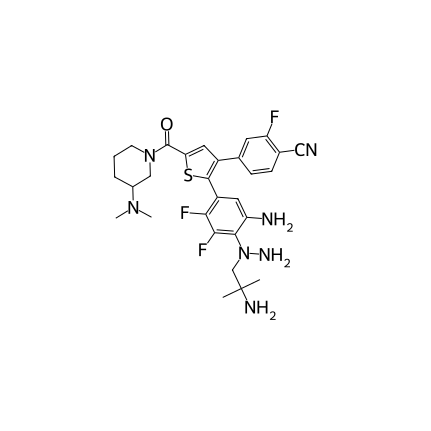 CN(C)C1CCCN(C(=O)c2cc(-c3ccc(C#N)c(F)c3)c(-c3cc(N)c(N(N)CC(C)(C)N)c(F)c3F)s2)C1